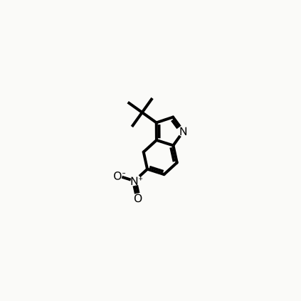 CC(C)(C)C1=C2CC([N+](=O)[O-])=CC=C2N=C1